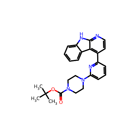 CC(C)(C)OC(=O)N1CCN(c2cccc(-c3ccnc4[nH]c5ccccc5c34)n2)CC1